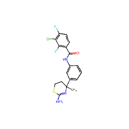 CC1(c2cccc(NC(=O)c3ccc(F)c(Cl)c3F)c2)CCSC(N)=N1